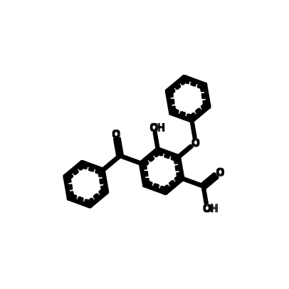 O=C(c1ccccc1)c1ccc(C(=O)O)c(Oc2ccccc2)c1O